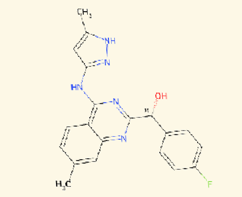 Cc1ccc2c(Nc3cc(C)[nH]n3)nc([C@H](O)c3ccc(F)cc3)nc2c1